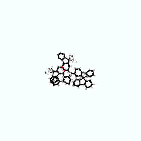 CC1(C)c2ccccc2-c2ccc(N(c3ccc4c(c3)C3(c5ccccc5-c5ccccc53)c3ccccc3-4)c3cccc(-c4ccccc4)c3-c3cccc4c3-c3ccccc3C4(C)C)cc21